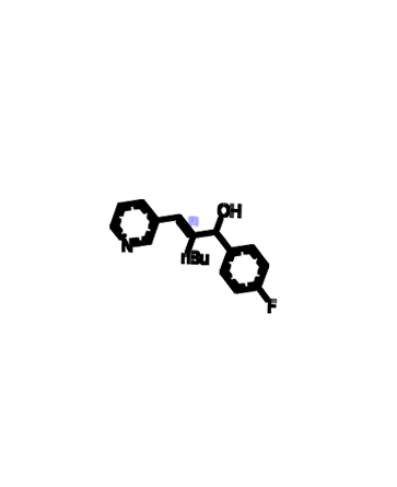 CCCC/C(=C\c1cccnc1)C(O)c1ccc(F)cc1